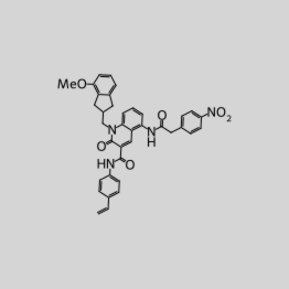 C=Cc1ccc(NC(=O)c2cc3c(NC(=O)Cc4ccc([N+](=O)[O-])cc4)cccc3n(CC3Cc4cccc(OC)c4C3)c2=O)cc1